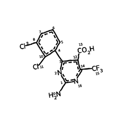 Nc1nc(-c2cccc(Cl)c2Cl)c(C(=O)O)c(C(F)(F)F)n1